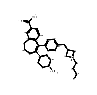 C[C@H]1CC[C@@H](C2=C(c3ccc(CC4CN(CCCF)C4)cc3)c3ccc(C(=O)O)cc3CCC2)CC1